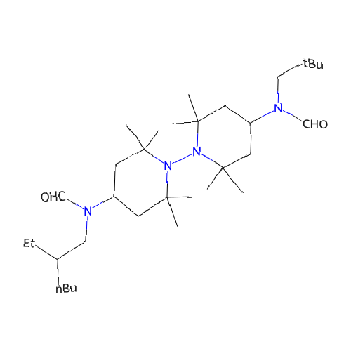 CCCCC(CC)CN(C=O)C1CC(C)(C)N(N2C(C)(C)CC(N(C=O)CC(C)(C)C)CC2(C)C)C(C)(C)C1